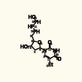 CCc1cn(C2CC(O)C(CPPPO)O2)c(=O)[nH]c1=O